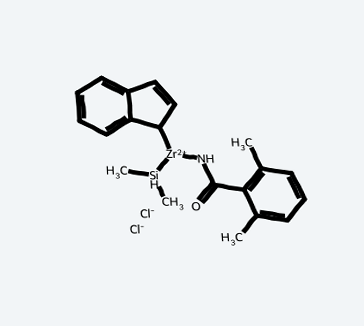 Cc1cccc(C)c1C(=O)[NH][Zr+2]([CH]1C=Cc2ccccc21)[SiH](C)C.[Cl-].[Cl-]